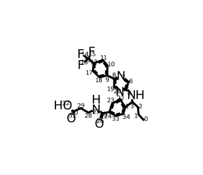 CCCC(Nc1cnc(-c2ccc(C(F)(F)F)cc2)cn1)c1ccc(C(=O)NCCC(=O)O)cc1